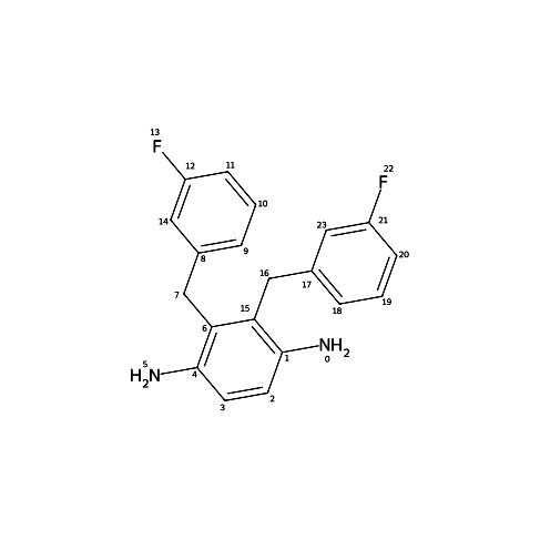 Nc1ccc(N)c(Cc2cccc(F)c2)c1Cc1cccc(F)c1